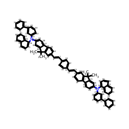 CC1(C)c2cc(/C=C/c3ccc(/C=C/c4ccc5c(c4)C(C)(C)c4cc(N(c6cccc(-c7ccccc7)c6)c6cccc7ccccc67)ccc4-5)cc3)ccc2-c2ccc(N(c3cccc(-c4ccccc4)c3)c3cccc4ccccc34)cc21